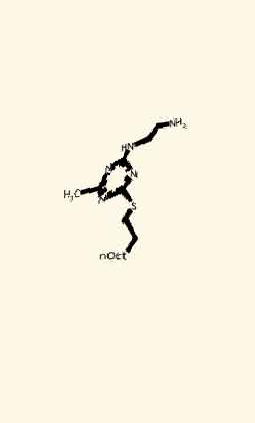 CCCCCCCCCCSc1nc(C)nc(NCCN)n1